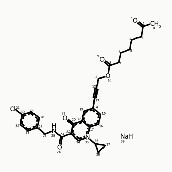 CC(=O)CCCCCC(=O)OCC#Cc1ccc2c(c1)c(=O)c(C(=O)NCc1ccc(Cl)cc1)cn2C1CC1.[NaH]